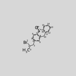 CC(Br)Cc1ccc2c(c1)Cc1ccccc1[S+]2[O-]